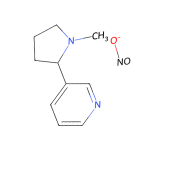 CN1CCCC1c1cccnc1.O=[NH+][O-]